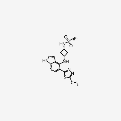 CCCS(=O)(=O)N[C@H]1C[C@@H](Nc2c(-c3nnc(C)s3)cnc3[nH]ccc23)C1